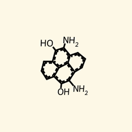 Nc1c(O)c2cccc3c(O)c(N)c4cccc1c4c23